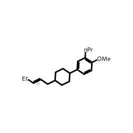 CC/C=C/CC1CCC(c2ccc(OC)c(CCC)c2)CC1